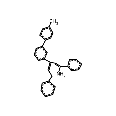 Cc1ccc(-c2cccc(C(/C=C(\N)c3ccccc3)=C/Cc3ccccc3)c2)cc1